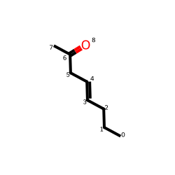 CCCC=CCC(C)=O